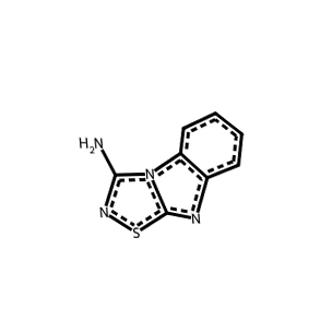 Nc1nsc2nc3ccccc3n12